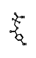 O=C(OCC(F)(F)C(=O)O)c1ccc(O)cc1